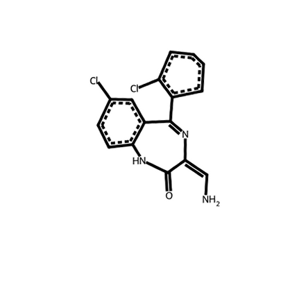 NC=C1N=C(c2ccccc2Cl)c2cc(Cl)ccc2NC1=O